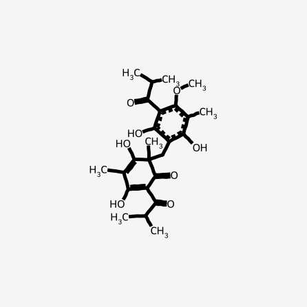 COc1c(C)c(O)c(CC2(C)C(=O)C(C(=O)C(C)C)=C(O)C(C)=C2O)c(O)c1C(=O)C(C)C